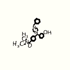 CCN(CC)C(=O)c1ccc(C(c2cccc(O)c2)N2CCN(Cc3ccccc3)CC2)cc1